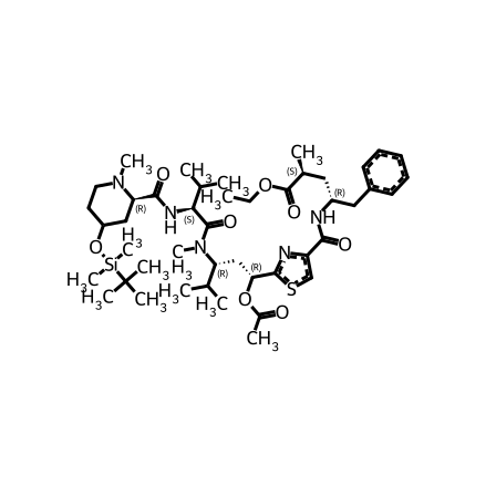 CCOC(=O)[C@@H](C)C[C@H](Cc1ccccc1)NC(=O)c1csc([C@@H](C[C@H](C(C)C)N(C)C(=O)[C@@H](NC(=O)[C@H]2CC(O[Si](C)(C)C(C)(C)C)CCN2C)C(C)C)OC(C)=O)n1